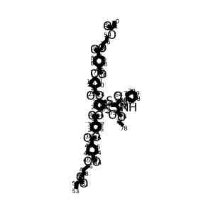 C=CC(=O)OCCCOC(=O)C1CCC(C(=O)OC2CCC(C(=O)Oc3ccc(OC(=O)C4CCC(OC(=O)C5CCC(C(=O)OCCCOC(=O)C=C)CC5)CC4)c4c3SC(=C3C(=O)N(c5ccccc5)NC3C(=O)OCC)S4)CC2)CC1